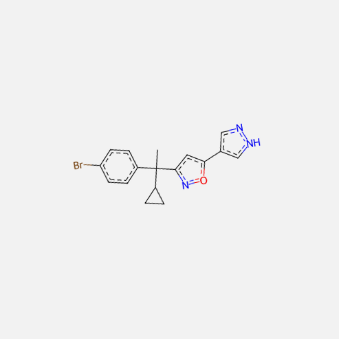 CC(c1ccc(Br)cc1)(c1cc(-c2cn[nH]c2)on1)C1CC1